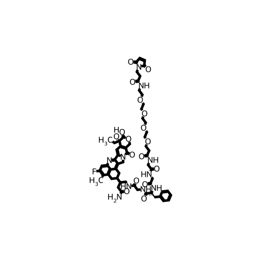 CC[C@@]1(O)C(=O)OCc2c1cc1n(c2=O)Cc2c-1nc1cc(F)c(C)c3c1c2CC(C(CNC(=O)CNC(=O)[C@H](Cc1ccccc1)NC(=O)CNC(=O)CNC(=O)CCOCCOCCOCCOCCNC(=O)CCN1C(=O)C=CC1=O)CC(N)=O)C3